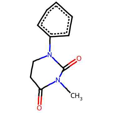 CN1C(=O)CCN(c2ccccc2)C1=O